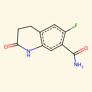 NC(=O)c1cc2c(cc1F)CCC(=O)N2